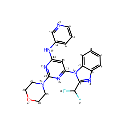 FC(F)c1nc2ccccc2n1-c1cc(Nc2cccnc2)nc(N2CCOCC2)n1